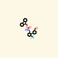 O=Cc1cccc(-c2c(CNC(=O)OCC3c4ccccc4-c4ccccc43)cccc2C(F)(F)F)c1